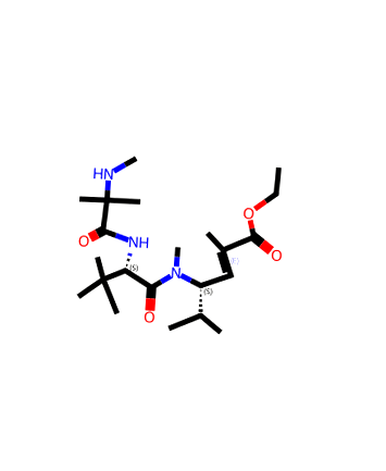 CCOC(=O)/C(C)=C/[C@H](C(C)C)N(C)C(=O)[C@@H](NC(=O)C(C)(C)NC)C(C)(C)C